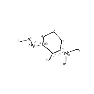 CSN[C@@H]1CCC[C@H](N(C)C)C1C